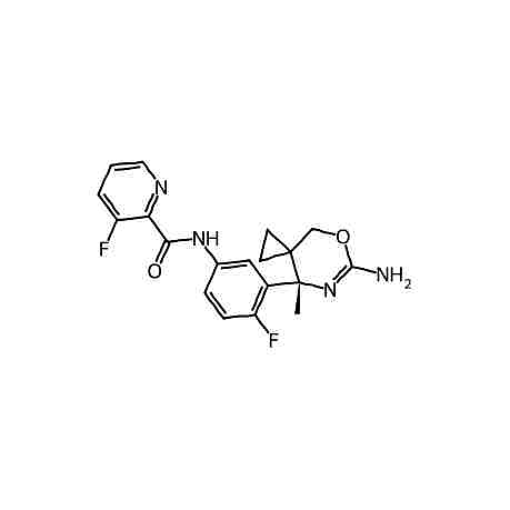 C[C@]1(c2cc(NC(=O)c3ncccc3F)ccc2F)N=C(N)OCC12CC2